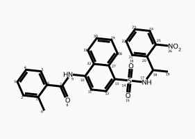 Cc1ccccc1C(=O)Nc1ccc(S(=O)(=O)NC(C)c2ccccc2[N+](=O)[O-])c2ccccc12